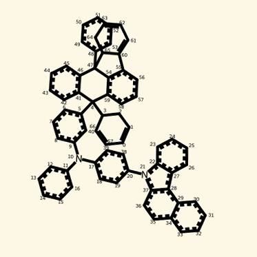 C1=CCC(C2(c3cccc(N(c4ccccc4)c4ccc(-n5c6ccccc6c6c7ccccc7ccc65)cc4)c3)c3ccccc3C3(c4ccccc4)c4c(cccc42)C2=CC=CCC23)C=C1